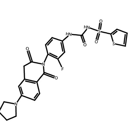 O=C(Nc1ccc(N2C(=O)Cc3cc(N4CCCC4)ccc3C2=O)c(F)c1)NS(=O)(=O)c1cccs1